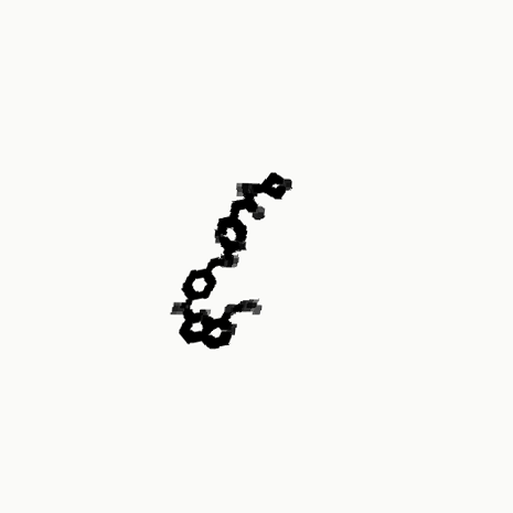 COc1nccc2ccc(N[C@H]3CC[C@H](CNc4ncc(CC(=O)NC5COC5)cn4)CC3)nc12